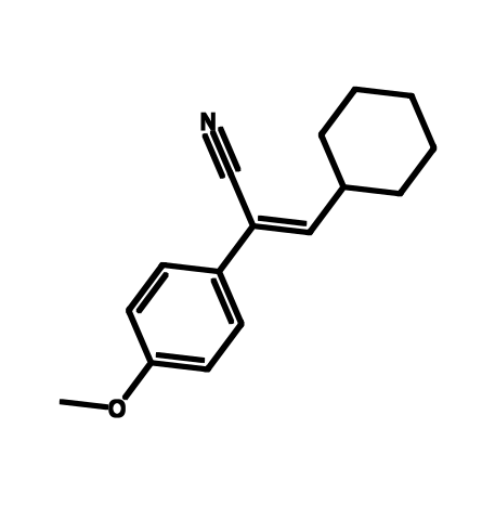 COc1ccc(C(C#N)=CC2CCCCC2)cc1